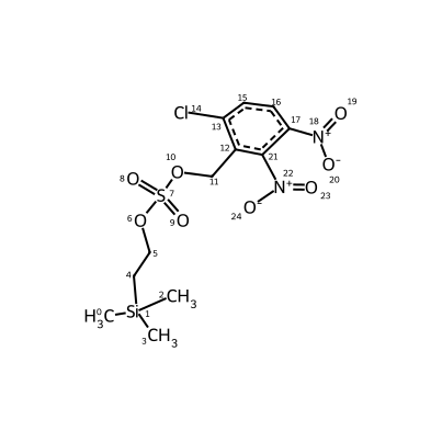 C[Si](C)(C)CCOS(=O)(=O)OCc1c(Cl)ccc([N+](=O)[O-])c1[N+](=O)[O-]